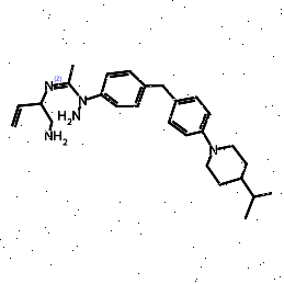 C=CC(CN)/N=C(/C)N(N)c1ccc(Cc2ccc(N3CCC(C(C)C)CC3)cc2)cc1